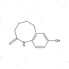 O=C1CCCCc2cc(O)ccc2N1